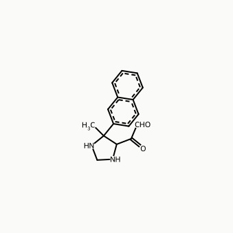 CC1(c2ccc3ccccc3c2)NCNC1C(=O)C=O